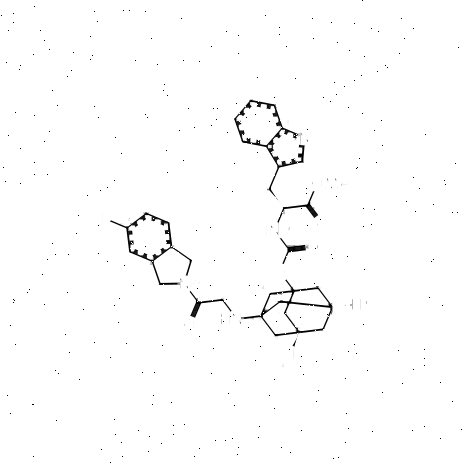 COC(=O)[C@H](Cc1c[nH]c2ccccc12)NC(=O)OC12C[C@@H]3C[C@@H](CC(NCC(=O)N4Cc5ccc(F)cc5C4)(C3)C1)C2